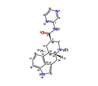 CCN1C[C@H](C(=O)Nc2cnccn2)C[C@@H]2c3cccc4[nH]cc(c34)C[C@H]21